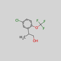 [CH2]C(CO)c1cc(Cl)ccc1OC(F)(F)F